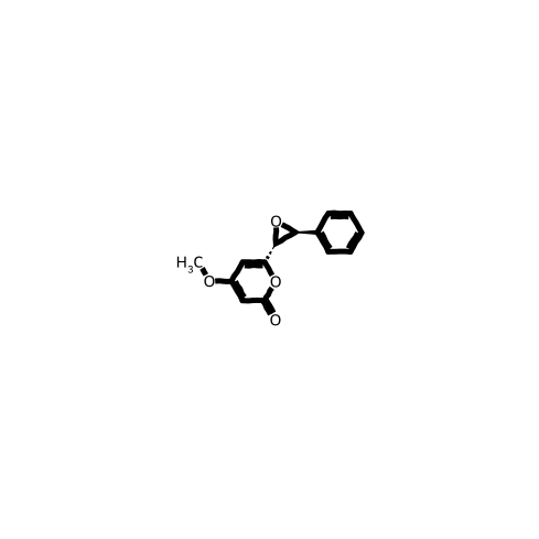 COc1cc([C@@H]2O[C@H]2c2ccccc2)oc(=O)c1